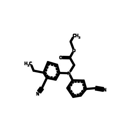 CCOC(=O)CN(c1cccc(C#N)c1)c1ccc(CC)c(C#N)c1